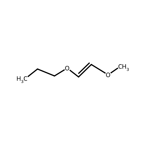 CCCOC=COC